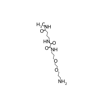 CNC(=O)CCCNC(=O)C(=O)NCCCOCCOCCCN